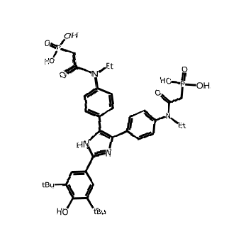 CCN(C(=O)CP(=O)(O)O)c1ccc(-c2nc(-c3cc(C(C)(C)C)c(O)c(C(C)(C)C)c3)[nH]c2-c2ccc(N(CC)C(=O)CP(=O)(O)O)cc2)cc1